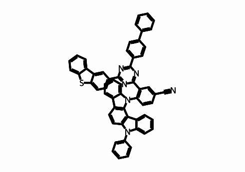 N#Cc1ccc(-n2c3ccccc3c3ccc4c(c5ccccc5n4-c4ccccc4)c32)c(-c2nc(-c3ccc(-c4ccccc4)cc3)nc(-c3ccc4sc5ccccc5c4c3)n2)c1